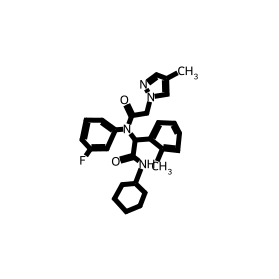 Cc1cnn(CC(=O)N(c2cccc(F)c2)C(C(=O)NC2CCCCC2)c2ccccc2C)c1